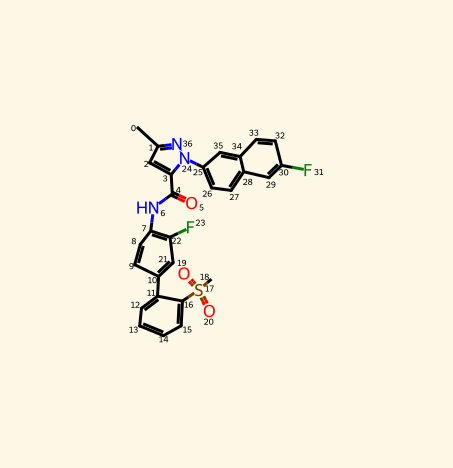 Cc1cc(C(=O)Nc2ccc(-c3ccccc3S(C)(=O)=O)cc2F)n(-c2ccc3cc(F)ccc3c2)n1